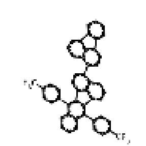 FC(F)(F)c1ccc(-c2c3c(c(-c4ccc(C(F)(F)F)cc4)c4ccccc24)-c2ccc(-c4ccc5c6c(cccc46)-c4ccccc4-5)c4cccc-3c24)cc1